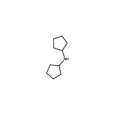 C1CCC(NC2CCCC2)C1